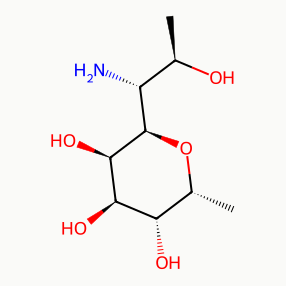 C[C@@H](O)[C@@H](N)[C@H]1O[C@H](C)[C@H](O)[C@@H](O)[C@H]1O